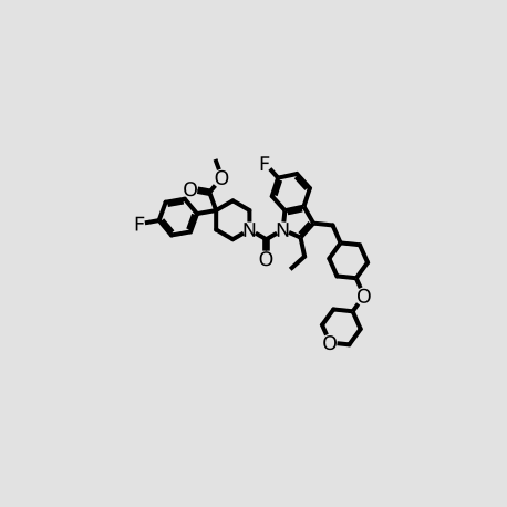 CCc1c(CC2CCC(OC3CCOCC3)CC2)c2ccc(F)cc2n1C(=O)N1CCC(C(=O)OC)(c2ccc(F)cc2)CC1